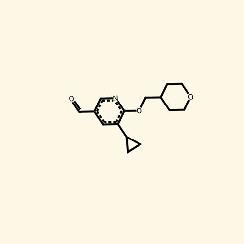 O=Cc1cnc(OCC2CCOCC2)c(C2CC2)c1